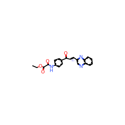 CCOC(=O)C(=O)Nc1ccc(C(=O)/C=C/c2cnc3ccccc3n2)cc1